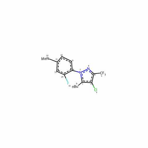 CCCCc1c(Cl)c(C(F)(F)F)nn1-c1ccc(NC)cc1F